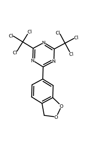 ClC(Cl)(Cl)c1nc(-c2ccc3c(c2)OOC3)nc(C(Cl)(Cl)Cl)n1